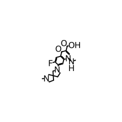 CNn1cc(C(=O)O)c(=O)c2cc(F)c(N3CCC4(CCN(C)C4)C3)cc21